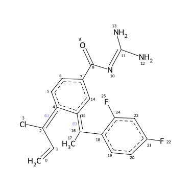 C=C/C(Cl)=c1/ccc(C(=O)N=C(N)N)c/c1=C(/C)c1ccc(F)cc1F